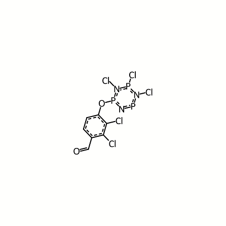 O=Cc1ccc(Op2npn(Cl)p(Cl)n2Cl)c(Cl)c1Cl